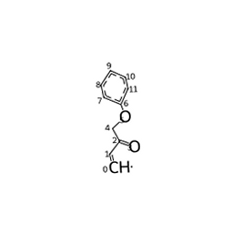 [CH]=CC(=O)COc1ccccc1